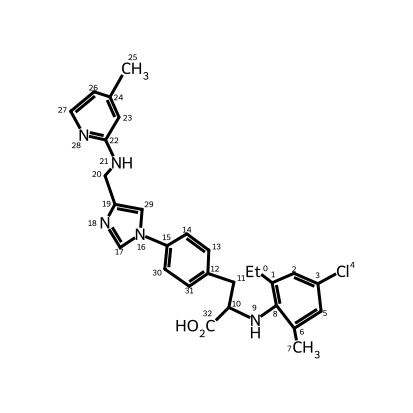 CCc1cc(Cl)cc(C)c1NC(Cc1ccc(-n2cnc(CNc3cc(C)ccn3)c2)cc1)C(=O)O